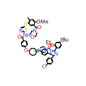 CCOc1cc(C(C)(C)C)ccc1C1=N[C@@](C)(c2ccc(Cl)cc2)[C@@](C)(c2ccc(Cl)cc2)N1C(=O)N1CCN(C2CCC[C@@H](Oc3ccc(C(=O)Nc4ncc(Sc5cc(C(=O)N6CCOCC6)c(OC)cc5C)s4)cc3)CC2)CC1